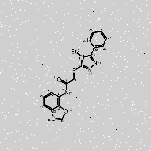 CCn1c(SCC(=O)Nc2cccc3c2OCO3)nnc1-c1ccccn1